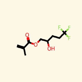 C=C(C)C(=O)OCC(O)CCC(F)(F)F